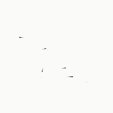 C[C@@]1(O)CC[C@@]2(C)[C@@H](CC[C@@H]3[C@@H]2CC[C@]2(C)[C@@H](c4cc(C=O)no4)CC[C@@H]32)C1